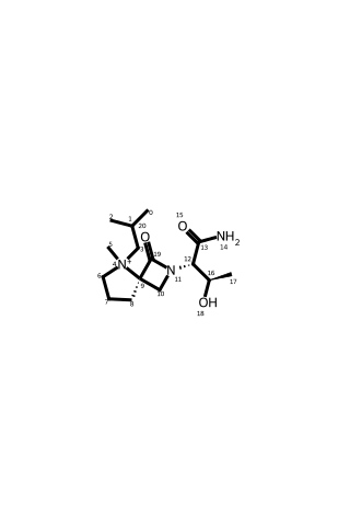 CC(C)C[N+]1(C)CCC[C@]12CN([C@H](C(N)=O)[C@@H](C)O)C2=O